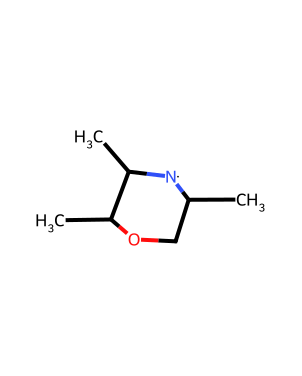 CC1COC(C)C(C)[N]1